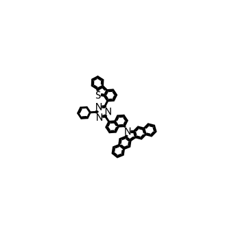 C1=CCC(c2nc(-c3cccc4c(-n5c6cc7ccccc7cc6c6cc7ccccc7cc65)cccc34)nc(-c3cccc4c3sc3ccccc34)n2)C=C1